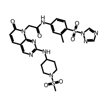 Cc1cc(NC(=O)Cn2c(=O)ccc3cnc(NC4CCN(S(C)(=O)=O)CC4)nc32)ccc1S(=O)(=O)n1cncn1